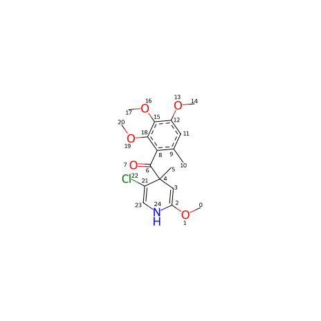 COC1=CC(C)(C(=O)c2c(C)cc(OC)c(OC)c2OC)C(Cl)=CN1